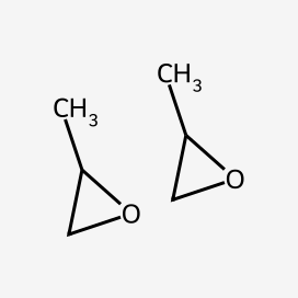 CC1CO1.CC1CO1